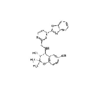 CC1(C)Oc2ccc(C#N)cc2[C@H](NCc2cc(-c3nc4ccccc4o3)ccn2)[C@H]1O